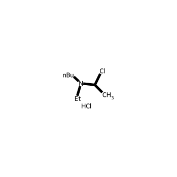 CCCCN(CC)C(C)Cl.Cl